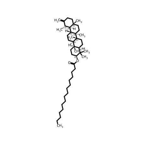 C=C1CC[C@]2(C)CC[C@]3(C)[C@H](CC[C@@H]4[C@@]5(C)CC[C@H](OC(=O)CCCCCCCCCCCCCCC)C(C)(C)[C@@H]5CC[C@]43C)[C@H]2[C@@H]1C